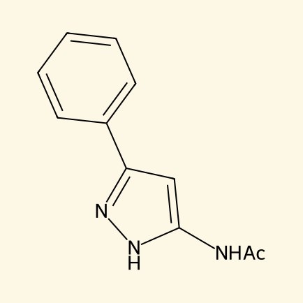 CC(=O)Nc1cc(-c2ccccc2)n[nH]1